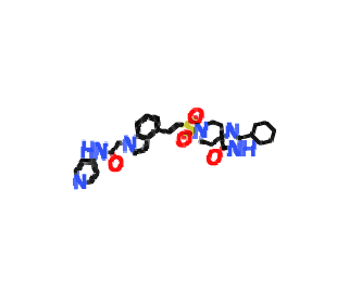 O=C(Cn1ccc2c(C=CS(=O)(=O)N3CCC4(CC3)N=C(C3CCCCC3)NC4=O)cccc21)Nc1ccncc1